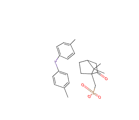 CC1(C)C2CCC1(CS(=O)(=O)[O-])C(=O)C2.Cc1ccc([I+]c2ccc(C)cc2)cc1